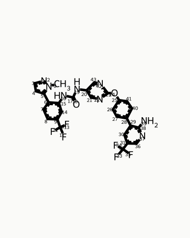 Cn1nccc1-c1ccc(C(F)(F)F)cc1NC(=O)Nc1cnc(Oc2ccc(-c3cc(C(F)(F)F)cnc3N)cc2)nc1